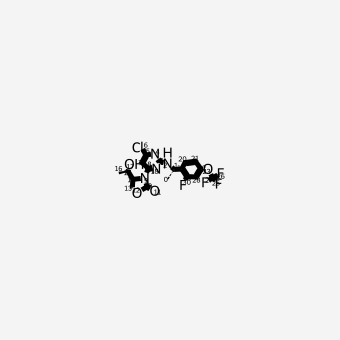 C[C@H](Nc1nc(Cl)cc(N2C(=O)OCC2[C@@H](C)O)n1)c1ccc(OC(F)(F)F)cc1F